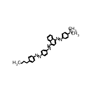 CCCCc1ccc(N=Nc2ccc(N=Nc3ccc(N=Nc4ccc(N(C)C)cc4)c4ccccc34)cc2)cc1